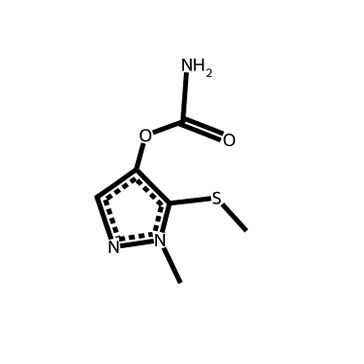 CSc1c(OC(N)=O)cnn1C